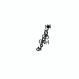 Cn1cnc(CCN2CCN(C(=O)Oc3ccc(NC(=O)c4ccc(CN5CCCCC5)cc4)cc3)CC2)c1